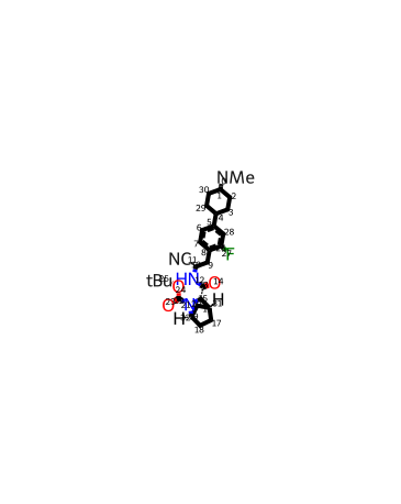 CNC1CCC(c2ccc(C[C@@H](C#N)NC(=O)[C@@H]3[C@H]4CC[C@H](C4)N3C(=O)OC(C)(C)C)c(F)c2)CC1